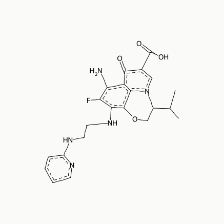 CC(C)C1COc2c(NCCNc3ccccn3)c(F)c(N)c3c(=O)c(C(=O)O)cn1c23